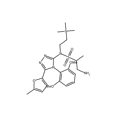 COc1cccc(OC)c1-n1c(-c2ccc(C)o2)nnc1N(CC[Si](C)(C)C)S(=O)(=O)C(C)CN